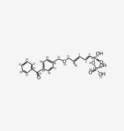 C/C(=C\C=C\P(=O)(O)OP(=O)(O)O)COCc1ccc(C(=O)c2ccccc2)cc1